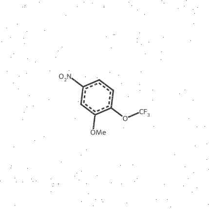 COc1cc([N+](=O)[O-])ccc1OC(F)(F)F